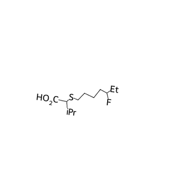 CCC(F)CCCCSC(C(=O)O)C(C)C